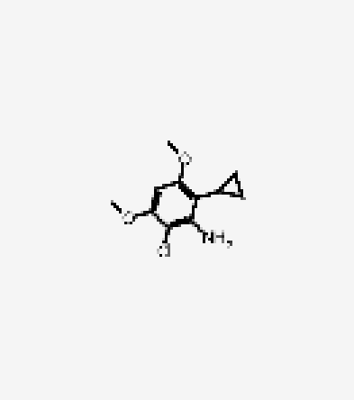 COc1cc(OC)c(C2CC2)c(N)c1Cl